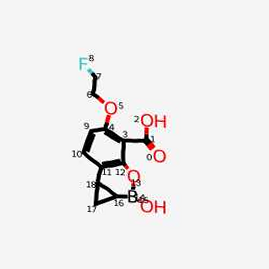 O=C(O)c1c(OCCF)ccc2c1OB(O)C1CC21